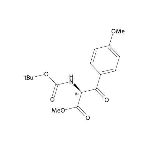 COC(=O)[C@@H](NC(=O)OC(C)(C)C)C(=O)c1ccc(OC)cc1